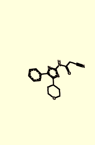 N#CCC(=O)Nc1nc(-c2ccccc2)c(C2CCOCC2)s1